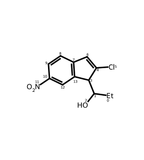 CCC(O)C1C(Cl)=Cc2ccc([N+](=O)[O-])cc21